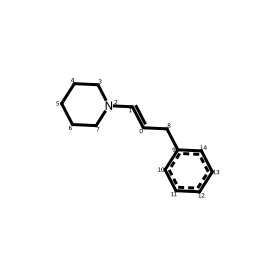 C(=CN1CCCCC1)Cc1ccccc1